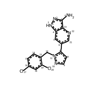 Nc1n[nH]c2cc(-c3ccnn3Cc3ccc(Cl)cc3Cl)cnc12